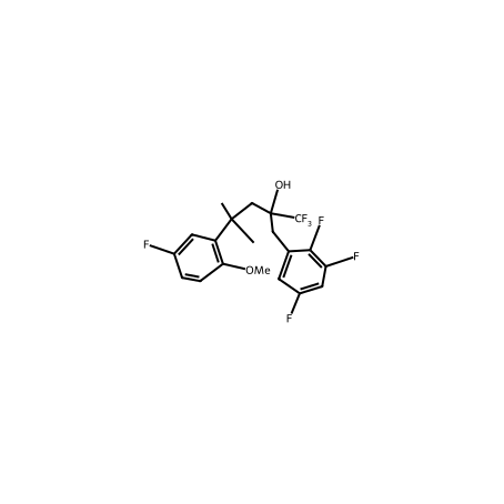 COc1ccc(F)cc1C(C)(C)CC(O)(Cc1cc(F)cc(F)c1F)C(F)(F)F